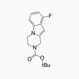 CC(C)(C)OC(=O)N1CCn2c(cc3c(F)cccc32)C1